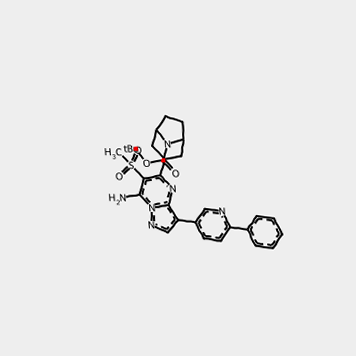 CC(C)(C)OC(=O)N1C2CCC1CC(c1nc3c(-c4ccc(-c5ccccc5)nc4)cnn3c(N)c1S(C)(=O)=O)C2